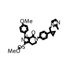 COOSc1nn(-c2ccc(OC)cc2)c2c1CCN(c1ccc(C3(Cn4ccnc4C)CC3)cc1)C2=O